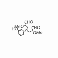 COC(C=O)CN(CC(C=O)OC)c1cccc(O)c1